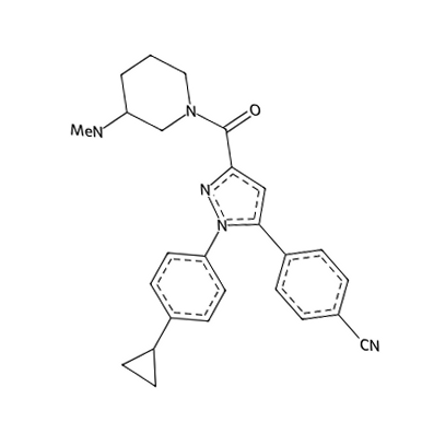 CNC1CCCN(C(=O)c2cc(-c3ccc(C#N)cc3)n(-c3ccc(C4CC4)cc3)n2)C1